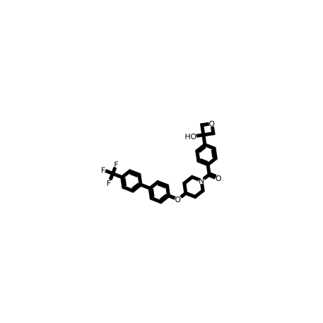 O=C(c1ccc(C2(O)COC2)cc1)N1CCC(Oc2ccc(-c3ccc(C(F)(F)F)cc3)cc2)CC1